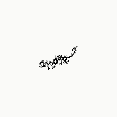 COc1cc2c(Nc3c(Cl)cc(C#CCOCC4OCCO4)c4c3OCO4)ncnc2cc1OCCCN1CCOCC1